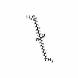 CCCCCCCCCCCCCC(=O)C([C]=O)CCCCCCCCCCCCC